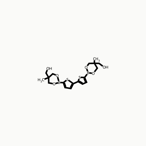 CC1(CO)COB(c2ccc(-c3ccc(B4OCC(C)(CO)CO4)s3)s2)OC1